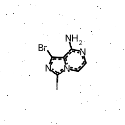 Nc1nccn2c(I)nc(Br)c12